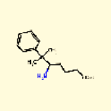 CCCCCCCCCCCC(N)C(C)(C)c1ccccc1